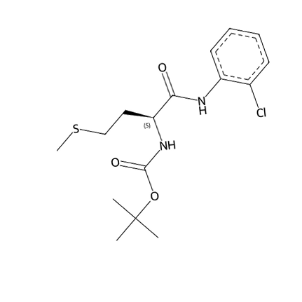 CSCC[C@H](NC(=O)OC(C)(C)C)C(=O)Nc1ccccc1Cl